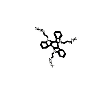 [N-]=[N+]=NCCn1c2ccccc2c2c1c1c3ccccc3n(CCN=[N+]=[N-])c1c1c3ccccc3n(CCN=[N+]=[N-])c21